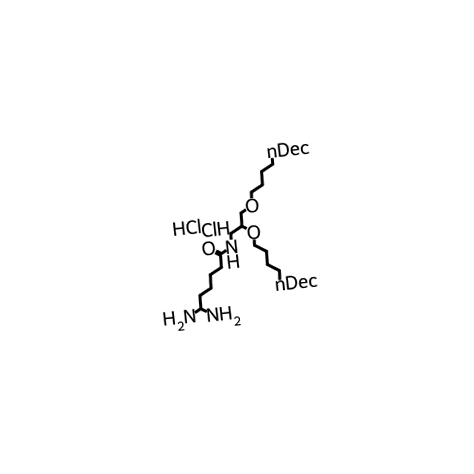 CCCCCCCCCCCCCCOCC(CNC(=O)CCCCC(N)N)OCCCCCCCCCCCCCC.Cl.Cl